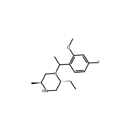 CC[C@@H]1CN[C@@H](C)CN1C(C)c1ccc(F)cc1OC